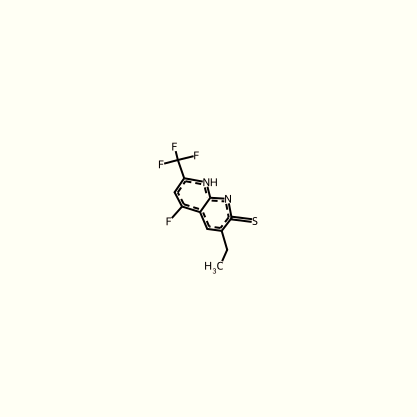 CCc1cc2c(F)cc(C(F)(F)F)[nH]c-2nc1=S